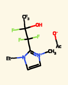 CC(=O)[O-].CCn1cc[n+](C)c1C(F)(F)C(O)(F)C(F)(F)F